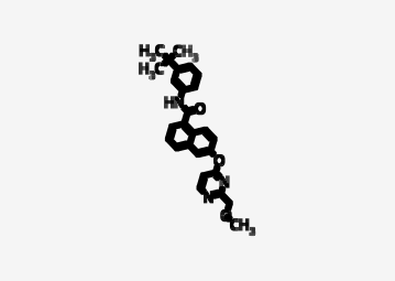 COCc1nccc(Oc2ccc3c(C(=O)Nc4cccc(C(C)(C)C)c4)cccc3c2)n1